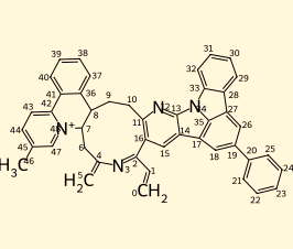 C=C/C1=N/C(=C)CC2C(CCc3nc4c(cc31)c1cc(-c3ccccc3)cc3c5ccccc5n4c31)c1ccccc1-c1ccc(C)c[n+]12